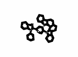 c1ccc(-n2c(-c3ccc(-n4c5ccccc5c5ccc6ccc7c8ccccc8sc7c6c54)cc3)nc3ccccc32)cc1